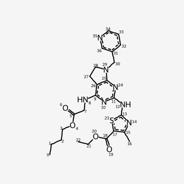 CCCCOC(=O)CNc1nc(Nc2nc(C)c(C(=O)OCC)s2)nc2c1CCN2Cc1cccnc1